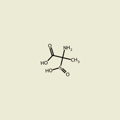 CC(N)(C(=O)O)S(=O)O